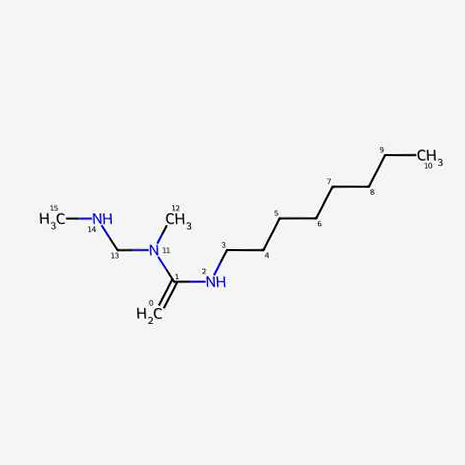 C=C(NCCCCCCCC)N(C)CNC